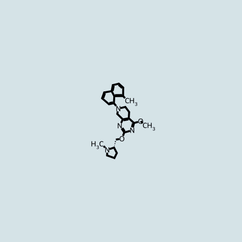 COc1nc(OC[C@@H]2CCCN2C)nc2c1CCN(c1cccc3cccc(C)c13)C2